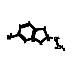 CO[C@H]1Cc2ccc(Br)cc2C1